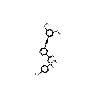 COc1cc(C#Cc2cncc(C(=O)N=S(C)(=O)c3ccc(C)cc3)c2)cc(OC)c1